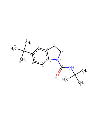 CC(C)(C)NC(=O)N1CCc2cc(C(C)(C)C)ccc21